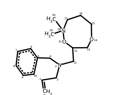 C=CCN(Cc1ccccc1)CC1COCCC[Si](C)(C)O1